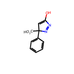 O=C(O)C1(c2ccccc2)C=C(O)N=N1